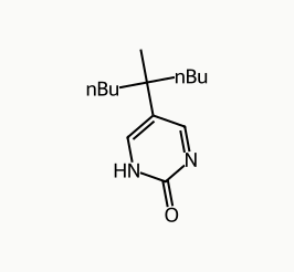 CCCCC(C)(CCCC)c1cnc(=O)[nH]c1